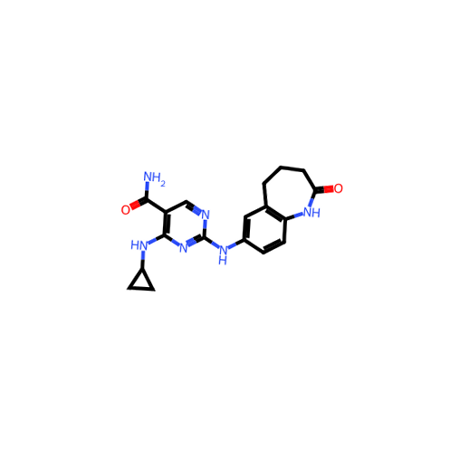 NC(=O)c1cnc(Nc2ccc3c(c2)CCCC(=O)N3)nc1NC1CC1